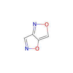 c1noc2conc12